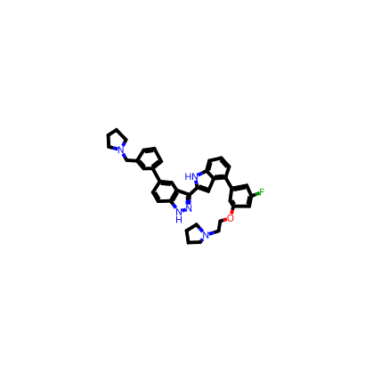 Fc1cc(OCCN2CCCC2)cc(-c2cccc3[nH]c(-c4n[nH]c5ccc(-c6cccc(CN7CCCC7)c6)cc45)cc23)c1